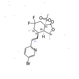 C[C@H]1OC(=O)[C@]2(S(C)(=O)=O)CC(F)(F)[C@@H](C)[C@H](/C=C/c3ccc(Br)cn3)[C@H]12